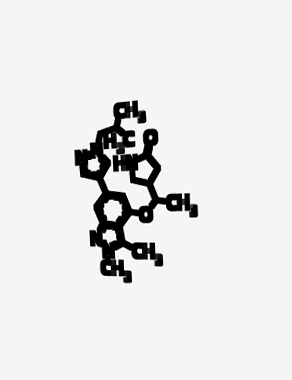 Cc1c2c(OC(C)C3CNC(=O)C3)cc(-c3cnn(CC(C)C)c3)cc2nn1C